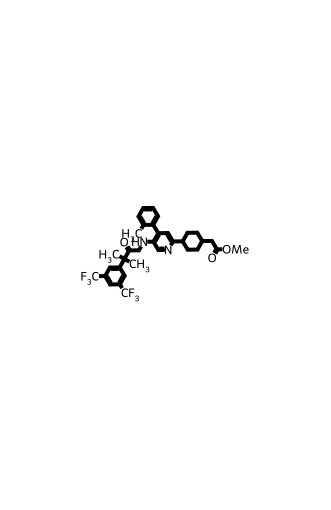 COC(=O)CC1CCC(c2cc(-c3ccccc3C)c(NCC(=O)C(C)(C)c3cc(C(F)(F)F)cc(C(F)(F)F)c3)cn2)CC1